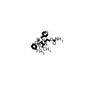 CC(C)c1nc(CCOC(N)=O)n(Cc2ccncc2)c1S(=O)(=O)Oc1cccc(F)c1